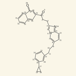 O=C(CCc1cn2cc(CCCc3cccc(C4CC4)c3)ccc2n1)C1=CC(=O)C2C=CC=CC2=C1